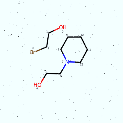 OCCBr.OCCN1CCCCC1